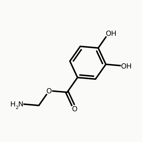 NCOC(=O)c1ccc(O)c(O)c1